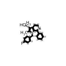 Cc1c(C)n(Cc2ccc(F)cc2)c2c(-c3ccccc3)nccc12.Cl